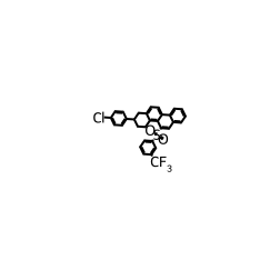 O=S(=O)(c1cccc(C(F)(F)F)c1)c1cc2ccccc2c2ccc3c(c12)CCC(c1ccc(Cl)cc1)C3